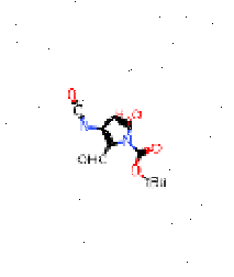 CC(C)(C)OC(=O)n1ccc(N=C=O)c1C=O.O